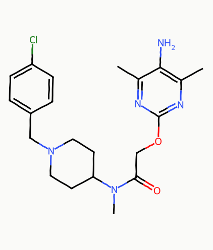 Cc1nc(OCC(=O)N(C)C2CCN(Cc3ccc(Cl)cc3)CC2)nc(C)c1N